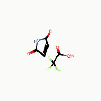 O=C(O)C(F)(F)F.O=C1C=CC(=O)N1